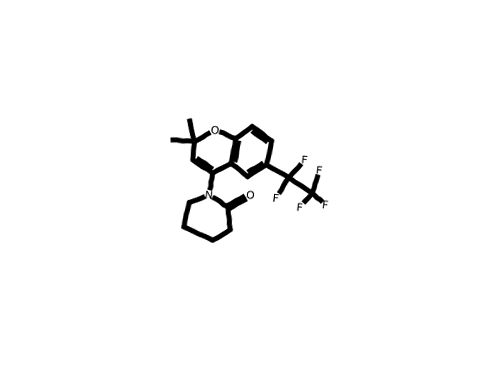 CC1(C)C=C(N2CCCCC2=O)c2cc(C(F)(F)C(F)(F)F)ccc2O1